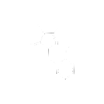 COc1ccccc1/C=C1\N=C(C)N(C)C1=O